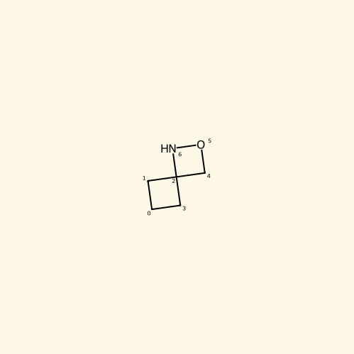 C1CC2(C1)CON2